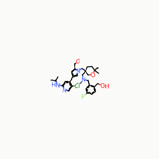 CC(C)Nc1cc(-c2cc(C=O)n(CC3(CN(C)Cc4cc(F)ccc4CO)CCC(C)(C)OC3)c2)c(Cl)cn1